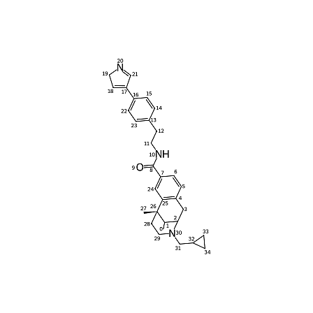 CC1C2Cc3ccc(C(=O)NCCc4ccc(C5=CCN=C5)cc4)cc3[C@@]1(C)CCN2CC1CC1